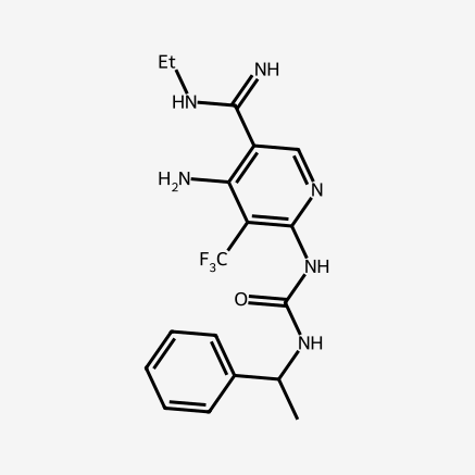 CCNC(=N)c1cnc(NC(=O)NC(C)c2ccccc2)c(C(F)(F)F)c1N